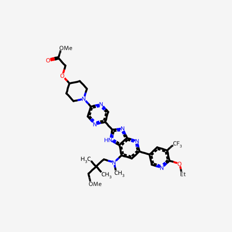 CCOc1ncc(-c2cc(N(C)CC(C)(C)COC)c3[nH]c(-c4cnc(N5CCC(OCC(=O)OC)CC5)cn4)nc3n2)cc1C(F)(F)F